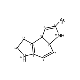 CC(=O)C1=CC2C3=C(C=CC2N1)NCC3